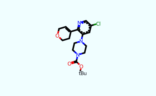 CC(C)(C)OC(=O)N1CCN(c2cc(Cl)cnc2C2=CCOCC2)CC1